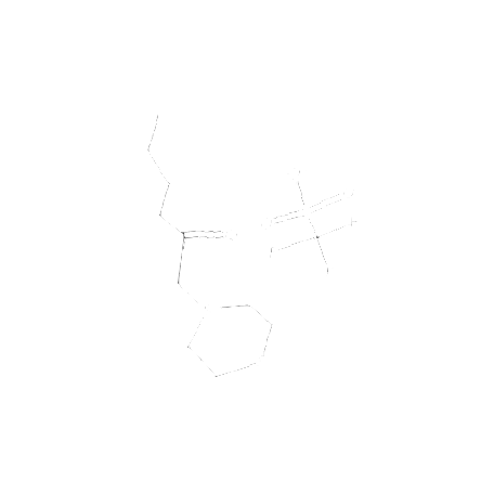 CCCCC(=O)C[S+]1CCSCC1.O=S(=O)([O-])C(F)(F)F